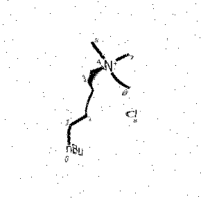 CCCCCCC[N+](C)(C)C.[Cl-]